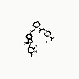 CC(=O)N1CCN(CC(=O)N2CCCC[C@@H]2COc2ccc3c(c2)CN(C2CCC(=O)NC2=O)C3=O)CC1